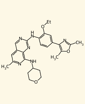 CCOc1cc(-c2nc(C)oc2C)ccc1Nc1ncc2cc(C)nc(NC3CCOCC3)c2n1